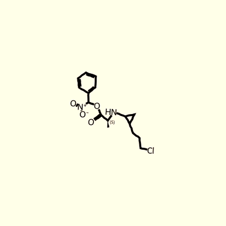 C[C@H](NC1CC1CCCCl)C(=O)OC(c1ccccc1)[N+](=O)[O-]